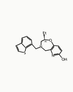 CC[C@@H]1CN(Cc2cccc3ccsc23)Cc2nc(O)ccc2O1